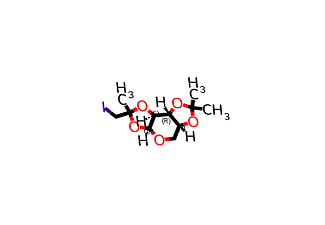 CC1(C)O[C@H]2[C@@H]3OC(C)(CI)O[C@@H]3OC[C@H]2O1